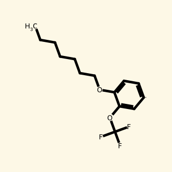 CCCCCCCOc1cc[c]cc1OC(F)(F)F